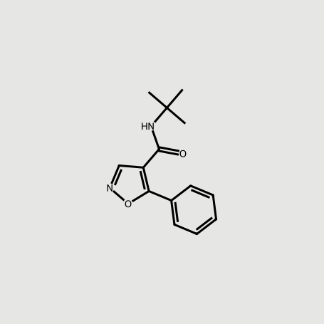 CC(C)(C)NC(=O)c1cnoc1-c1ccccc1